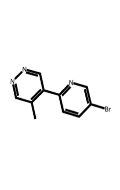 Cc1cnncc1-c1ccc(Br)cn1